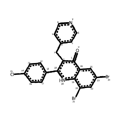 O=c1c(Cc2ccncc2)c(-c2ccc(Cl)cc2)[nH]c2c(Br)cc(Br)cc12